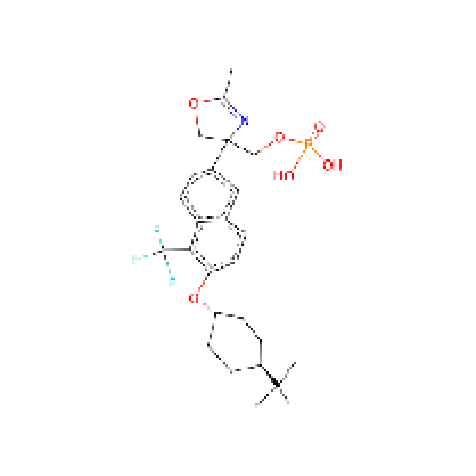 CC1=NC(COP(=O)(O)O)(c2ccc3c(C(F)(F)F)c(O[C@H]4CC[C@H](C(C)(C)C)CC4)ccc3c2)CO1